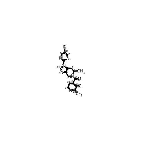 CC1Cc2c(nnn2-c2ncc(F)cn2)CN1C(=O)c1ccnc(C(F)(F)F)c1Cl